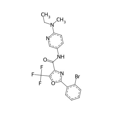 CCN(C)c1ccc(NC(=O)c2nc(-c3ccccc3Br)oc2C(F)(F)F)cn1